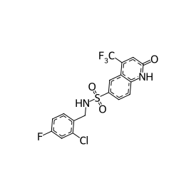 O=c1cc(C(F)(F)F)c2cc(S(=O)(=O)NCc3ccc(F)cc3Cl)ccc2[nH]1